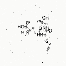 C#CCSC[C@H](NC(=O)CC[C@H](N)C(=O)O)C(=O)NCC(=O)O